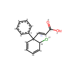 O=C(O)/C=C/C1(c2ccccc2)C=CC=CC1Cl